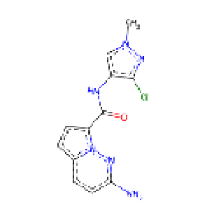 Cn1cc(NC(=O)c2ccc3ccc(N)nn23)c(Cl)n1